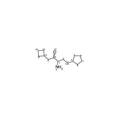 NC(CSC1CCCC1)C(=O)CC1CCC1